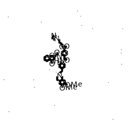 COc1cc2c(cc1OC)CN(CCc1ccc(NC(=O)c3ccc(C(=O)OCCCn4ccnc4)cc3NC(=O)c3cc(=O)c4ccccc4o3)cc1)CC2